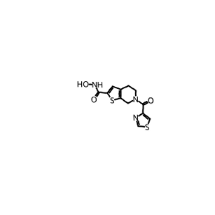 O=C(NO)c1cc2c(s1)CN(C(=O)c1cscn1)CC2